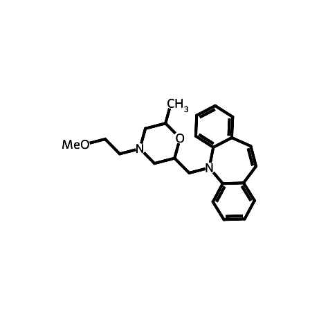 COCCN1CC(C)OC(CN2c3ccccc3C=Cc3ccccc32)C1